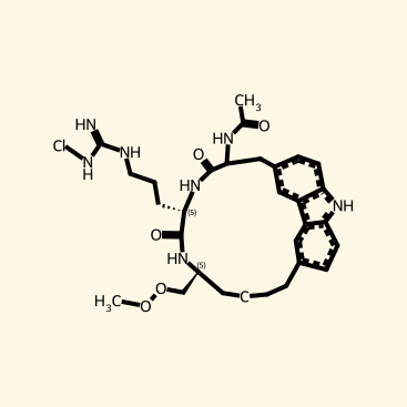 COOC[C@@H]1CCCCc2ccc3[nH]c4ccc(cc4c3c2)CC(NC(C)=O)C(=O)N[C@@H](CCCNC(=N)NCl)C(=O)N1